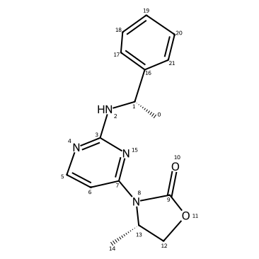 C[C@H](Nc1nccc(N2C(=O)OC[C@@H]2C)n1)c1ccccc1